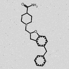 NC(=O)C1CCN(CC2Cc3cc(Cc4ccccc4)ccc3O2)CC1